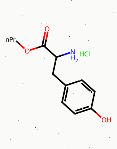 CCCOC(=O)C(N)Cc1ccc(O)cc1.Cl